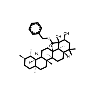 C[C@@H]1[C@H]2[C@H]3CC[C@@H]4[C@]5(C)[C@@H](CC[C@@]4(C)[C@]3(C)CC[C@@]2(C)CC[C@H]1C)C(C)(C)C[C@H](O)C5(O)C(=O)OCc1ccccc1